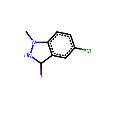 CN1NC(I)c2cc(Cl)ccc21